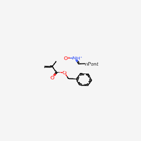 C=C(C)C(=O)OCc1ccccc1.CCCCCC=[NH+][O-]